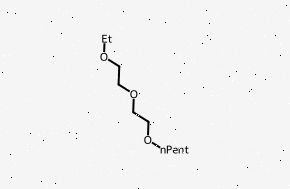 CCCCCOCCOCCOCC